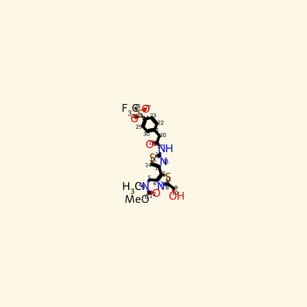 COC(=O)N(C)Cc1nc(CO)sc1-c1csc(NC(=O)Cc2ccc(S(=O)(=O)C(F)(F)F)cc2)n1